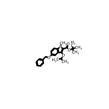 CC(C)Oc1c(C(=O)OC(C)(C)C)n(C)c2ccc(OCc3ccccc3)cc12